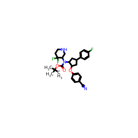 CC(C)(C)OC(=O)N(C1CC(c2ccc(F)cc2)CC1Oc1ccc(C#N)cc1)C1CNCCC1(F)F